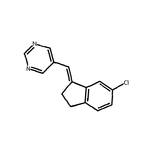 Clc1ccc2c(c1)C(=Cc1cncnc1)CC2